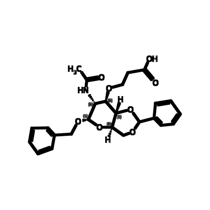 CC(=O)N[C@H]1[C@@H](OCc2ccccc2)O[C@@H]2COC(c3ccccc3)O[C@H]2[C@@H]1OCCC(=O)O